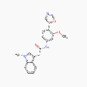 COc1cc(NC(=O)Cc2cn(C)c3ccccc23)ccc1-c1cnco1